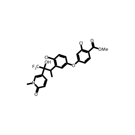 COC(=O)c1ccc(Oc2ccc(Cl)c(C(C)C(O)(c3ccc(=O)n(C)c3)C(F)(F)F)c2)cc1Cl